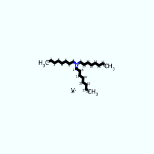 CCCCCCCCN(CCCCCCCC)CCCCCCCC.[V]